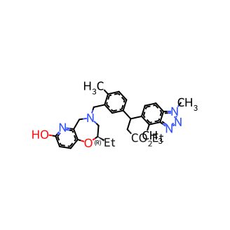 CCOC(=O)CC(c1ccc(C)c(CN2Cc3nc(O)ccc3O[C@H](CC)C2)c1)c1ccc2c(nnn2C)c1C